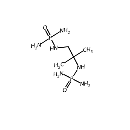 CC(C)(CNP(N)(N)=O)NP(N)(N)=O